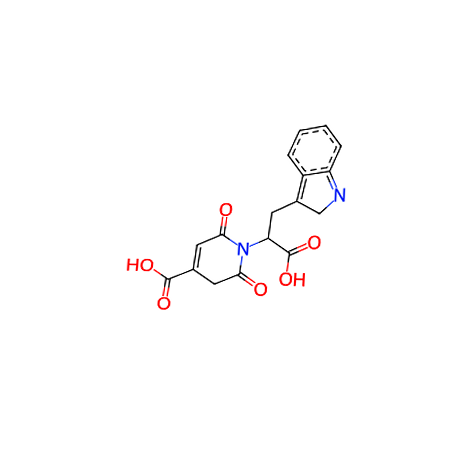 O=C(O)C1=CC(=O)N(C(CC2=c3ccccc3=NC2)C(=O)O)C(=O)C1